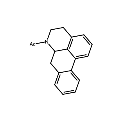 CC(=O)N1CCc2cccc3c2C1Cc1ccccc1-3